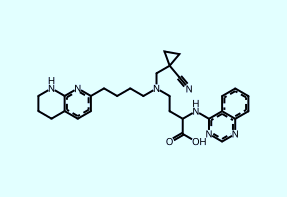 N#CC1(CN(CCCCc2ccc3c(n2)NCCC3)CCC(Nc2ncnc3ccccc23)C(=O)O)CC1